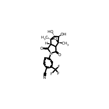 C[C@]12O[C@@](C)(C3C(=O)N(c4ccc(C#N)c(C(F)(F)F)c4)C(=O)[C@@H]31)[C@H](O)[C@H]2O